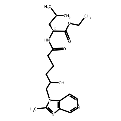 CCOC(=O)[C@H](CC(C)C)NC(=O)CCCC(O)Cn1c(C)nc2cnccc21